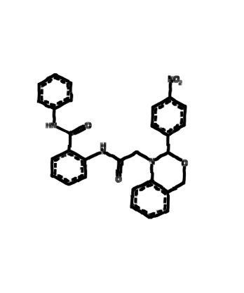 O=C(CN1c2ccccc2COC1c1ccc([N+](=O)[O-])cc1)Nc1ccccc1C(=O)Nc1ccccc1